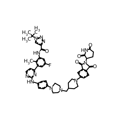 Cc1c(NC(=O)c2cn(C(C)(C)C)nn2)cc(F)cc1-c1ccnc(Nc2ccc(N3CCN(CC4CCN(c5ccc6c(c5)C(=O)N(C5CCC(=O)NC5=O)C6=O)CC4)CC3)cc2)n1